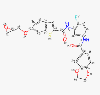 O=C(Nc1ccc(F)c(NC(=O)c2cc3ccc(OCC4CO4)cc3s2)c1)c1ccc2c(c1)OCCO2